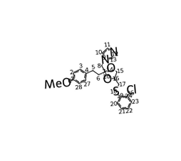 COc1ccc(CCC2(Cn3ccnc3)OCC(CSc3ccccc3Cl)O2)cc1